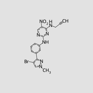 C#CCNc1nc(Nc2cccc(-c3nn(C)cc3Br)c2)ncc1[N+](=O)[O-]